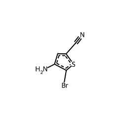 N#Cc1cc(N)c(Br)s1